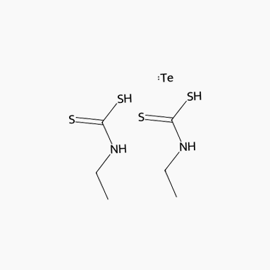 CCNC(=S)S.CCNC(=S)S.[Te]